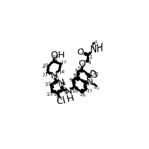 CNC(=O)COc1cc2cc(Nc3nc(N4CCC(O)CC4)ccc3Cl)ccc2n(C)c1=O